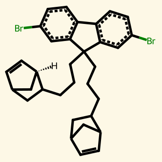 Brc1ccc2c(c1)C(CCCC1CC3C=CC1C3)(CCCC1CC3C=C[C@@H]1C3)c1cc(Br)ccc1-2